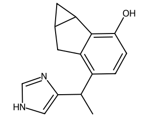 CC(c1c[nH]cn1)c1ccc(O)c2c1CC1CC21